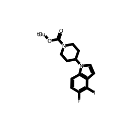 CC(C)(C)OC(=O)N1CCC(n2ccc3c(I)c(F)ccc32)CC1